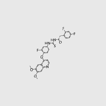 COc1cc2nccc(Oc3ccc(NC(=S)NC(=O)Cc4ccc(F)cc4F)cc3F)c2cc1OC